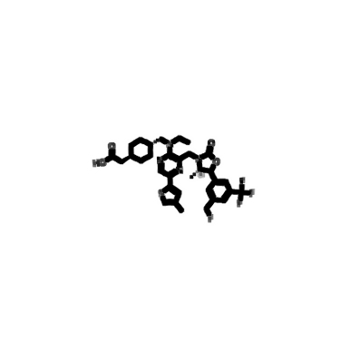 CCN(C[C@H]1CC[C@H](CC(=O)O)CC1)c1ncc(-c2cc(C)cs2)nc1CN1C(=O)OC(c2cc(CF)cc(C(F)(F)F)c2)[C@@H]1C